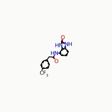 O=C(Cc1ccc(C(F)(F)F)cc1)Nc1cccc2[nH]c(=O)[nH]c12